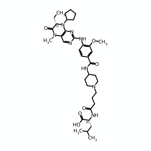 CC[C@H]1C(=O)N(C)c2cnc(Nc3ccc(C(=O)NC4CCN(CCCC(=O)N[C@H](CC(C)C)C(=O)O)CC4)cc3OC)nc2N1C1CCCC1